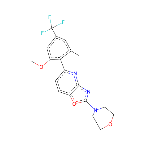 COc1cc(C(F)(F)F)cc(C)c1-c1ccc2oc(N3CCOCC3)nc2n1